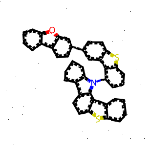 c1ccc2c(c1)oc1cc(-c3ccc4sc5cccc(-n6c7ccccc7c7ccc8sc9ccccc9c8c76)c5c4c3)ccc12